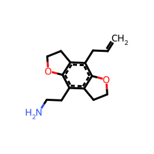 C=CCc1c2c(c(CCN)c3c1OCC3)OCC2